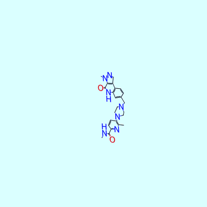 CNC(=O)c1ccc(N2CCN(Cc3ccc4c(c3)[nH]c(=O)c3c4cnn3C)CC2)c(C)n1